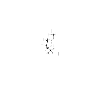 CC(F)(C(F)(F)F)C(F)(OCCC(F)(F)F)C(F)C(F)(F)F